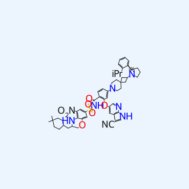 CC(C)c1ccccc1[C@H]1CCCN1C1CC2(CCN(c3ccc(C(=O)NS(=O)(=O)c4cc5c(c([N+](=O)[O-])c4)NC(CC4CCC(C)(C)CC4)CO5)c(Oc4cnc5[nH]cc(C#N)c5c4)c3)CC2)C1